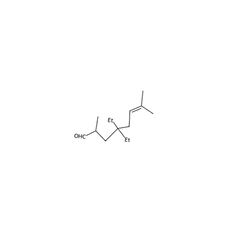 CCC(CC)(CC=C(C)C)CC(C)C=O